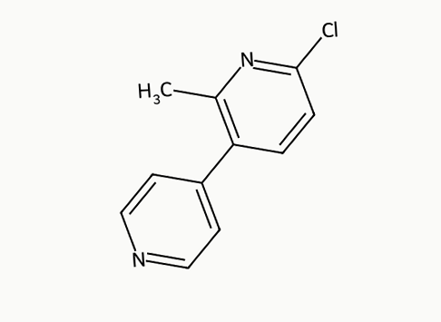 Cc1nc(Cl)ccc1-c1ccncc1